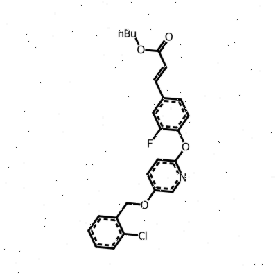 CCCCOC(=O)C=Cc1ccc(Oc2ccc(OCc3ccccc3Cl)cn2)c(F)c1